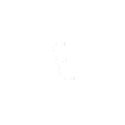 O=S(=O)(O)OCCCOS(=O)(=O)O.[LiH]